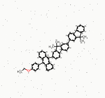 CCOc1ccc(-c2c3ccccc3c(-c3ccc4c(c3)C(C)(C)c3cc(-c5ccc6c(c5)C(C)(C)c5ccccc5-6)ccc3-4)c3ccccc23)cc1